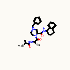 CNC(C)C(=O)NC(C(=O)N1CCN(Cc2ccccc2)CC1C(=O)NC1CCCc2ccccc21)C(C)(C)C